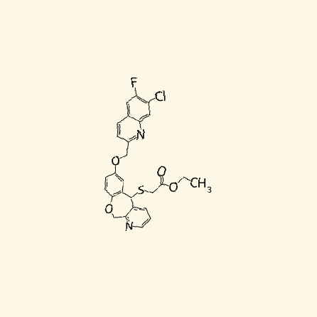 CCOC(=O)CSC1c2cc(OCc3ccc4cc(F)c(Cl)cc4n3)ccc2OCc2ncccc21